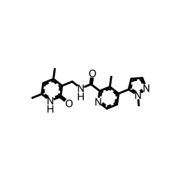 Cc1cc(C)c(CNC(=O)c2nccc(-c3ccnn3C)c2C)c(=O)[nH]1